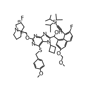 COCOc1cc(C(O)c2nc3nc(OC[C@@]45CCCN4C[C@H](F)C5)nc(SCc4ccc(OC)cc4)c3n2C2CCC2)c2c(C#C[Si](C(C)C)(C(C)C)C(C)C)c(F)ccc2c1